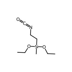 CCO[Si](C)(CCN=C=O)OCC